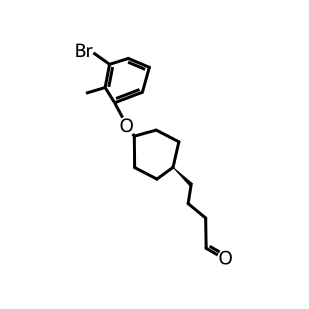 Cc1c(Br)cccc1O[C@H]1CC[C@H](CCCC=O)CC1